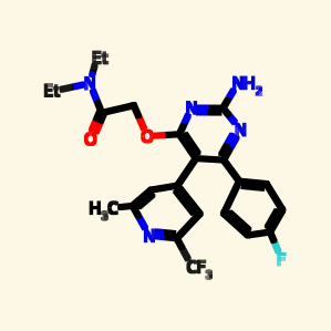 CCN(CC)C(=O)COc1nc(N)nc(-c2ccc(F)cc2)c1-c1cc(C)nc(C(F)(F)F)c1